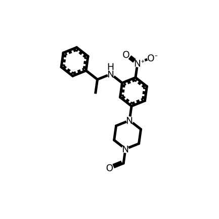 CC(Nc1cc(N2CCN(C=O)CC2)ccc1[N+](=O)[O-])c1ccccc1